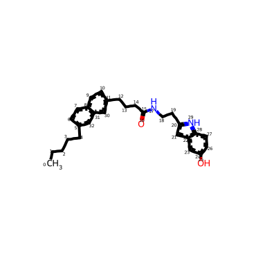 CCCCCc1ccc2ccc(CCCC(=O)NCCc3cc4cc(O)ccc4[nH]3)cc2c1